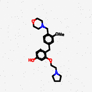 COc1cc(Cc2[c]cc(O)cc2OCCN2CCCC2)ccc1CN1CCOCC1